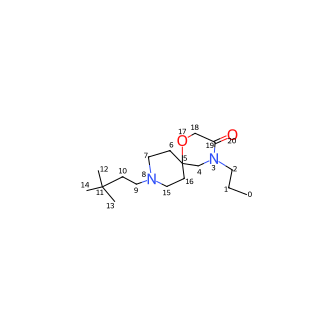 CCCN1CC2(CCN(CCC(C)(C)C)CC2)OCC1=O